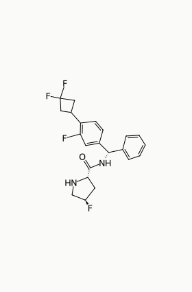 O=C(N[C@@H](c1ccccc1)c1ccc(C2CC(F)(F)C2)c(F)c1)[C@@H]1C[C@@H](F)CN1